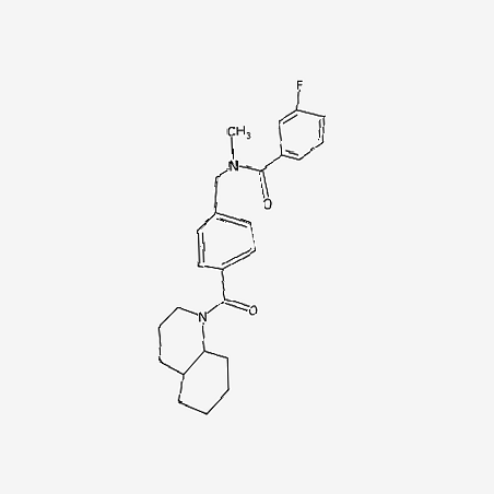 CN(Cc1ccc(C(=O)N2CCCC3CCCCC32)cc1)C(=O)c1cccc(F)c1